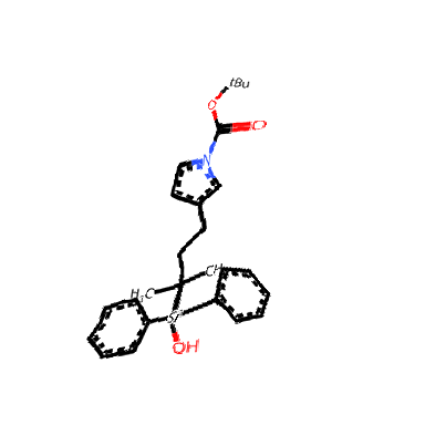 CC(C)(C)OC(=O)n1ccc(CCC(C)(C)[Si](O)(c2ccccc2)c2ccccc2)c1